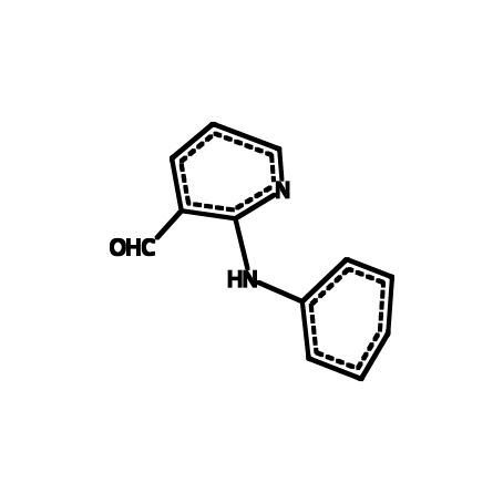 O=Cc1cccnc1Nc1ccccc1